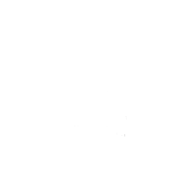 CC(C)(C)c1cc(O)cc2c(F)c(F)c(F)c(F)c12